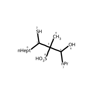 CCCCCCCC(S)C(C)(C(O)CCC)S(=O)(=O)O